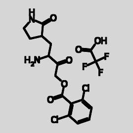 NC(CC1CCNC1=O)C(=O)COC(=O)c1c(Cl)cccc1Cl.O=C(O)C(F)(F)F